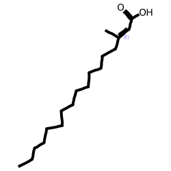 CCCCCCCCCCCCCC/C(C)=C/C(=O)O